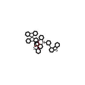 c1cc(-c2cccc3sc4ccccc4c23)cc(N(c2ccccc2-c2ccc3sc4ccccc4c3c2)c2cccc3oc4c5c(ccc4c23)C2(c3ccccc3-c3ccccc32)c2ccccc2-5)c1